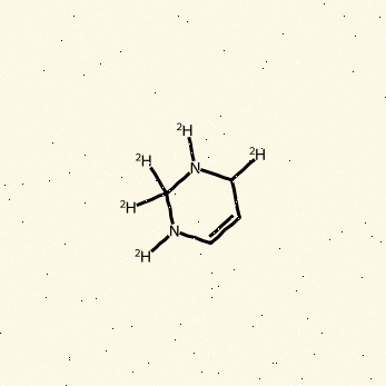 [2H]C1C=CN([2H])C([2H])([2H])N1[2H]